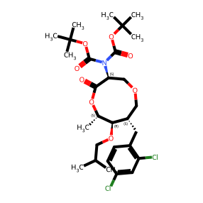 CC(C)CO[C@@H]1[C@@H](Cc2ccc(Cl)cc2Cl)COC[C@H](N(C(=O)OC(C)(C)C)C(=O)OC(C)(C)C)C(=O)O[C@H]1C